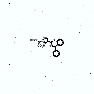 CCCCCCC(C(=O)O)n1cc(C(=O)NC(c2ccccc2)c2ccccc2)cn1